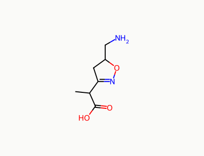 CC(C(=O)O)C1=NOC(CN)C1